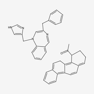 C1=NC(Cc2ccccc2)=CN(Cc2c[nH]cn2)c2ccccc21.CC(=O)C1CCC=c2ccc3c(c21)CC=c1ccccc1=3